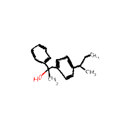 CCC(C)c1ccc(C(C)(O)c2ccccc2)cc1